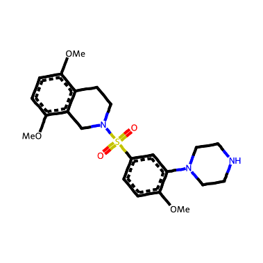 COc1ccc(S(=O)(=O)N2CCc3c(OC)ccc(OC)c3C2)cc1N1CCNCC1